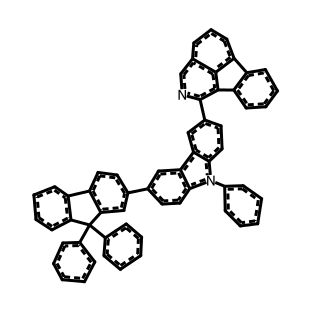 c1ccc(-n2c3ccc(-c4ccc5c(c4)C(c4ccccc4)(c4ccccc4)c4ccccc4-5)cc3c3cc(-c4ncc5cccc6c5c4-c4ccccc4-6)ccc32)cc1